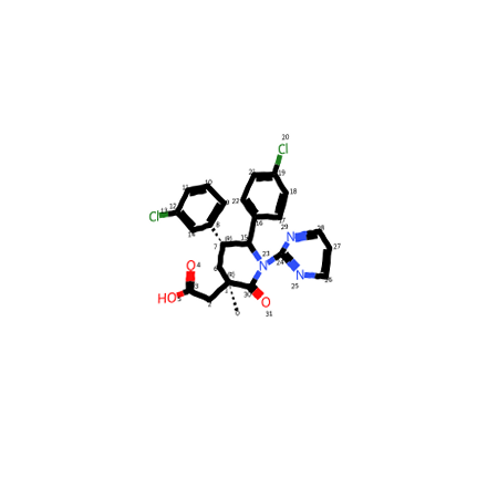 C[C@]1(CC(=O)O)C[C@H](c2cccc(Cl)c2)C(c2ccc(Cl)cc2)N(c2ncccn2)C1=O